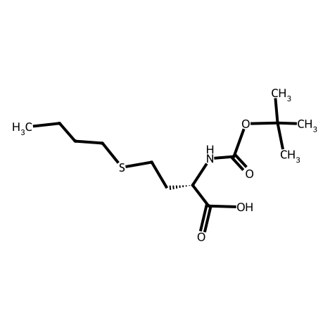 CCCCSCC[C@H](NC(=O)OC(C)(C)C)C(=O)O